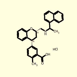 Cc1ccc([C@H]2C[C@@H](CNC(C)c3cccc4ccccc34)Oc3ccccc32)cc1C(=O)O.Cl